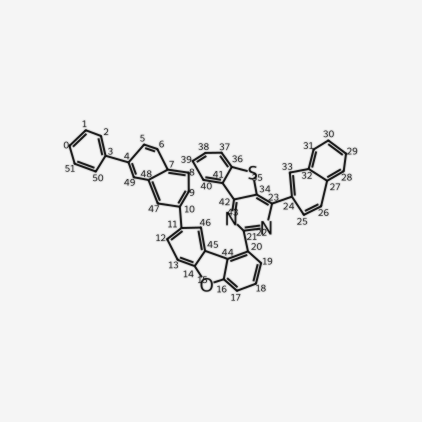 c1ccc(-c2ccc3ccc(-c4ccc5oc6cccc(-c7nc(-c8ccc9ccccc9c8)c8sc9ccccc9c8n7)c6c5c4)cc3c2)cc1